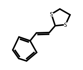 C(=C\C1SCCS1)/c1ccccc1